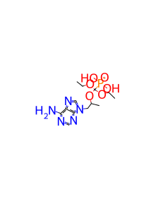 CCOC(OCC)(OC(C)Cn1cnc2c(N)ncnc21)P(=O)(O)O